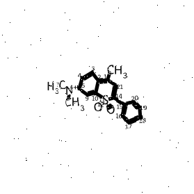 CC1=C2C=CC(=[N+](C)C)C=C2S(=O)(=O)C(c2ccccc2)=C1